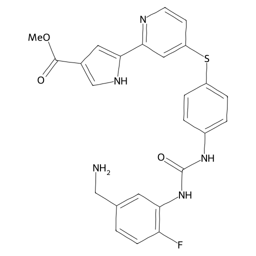 COC(=O)c1c[nH]c(-c2cc(Sc3ccc(NC(=O)Nc4cc(CN)ccc4F)cc3)ccn2)c1